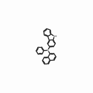 c1ccc(N(c2ccc3[nH]c4ccccc4c3c2)c2cccc3ccccc23)cc1